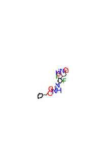 O=C1CCC(c2c(F)cc(N3CC(NC(=O)OCCc4ccccc4)C3)cc2F)C(=O)N1